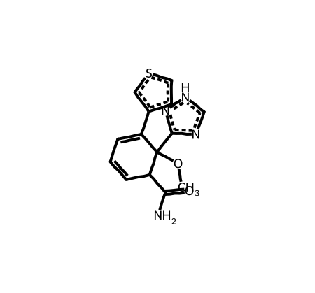 COC1(c2nc[nH]n2)C(c2ccsc2)=CC=CC1C(N)=O